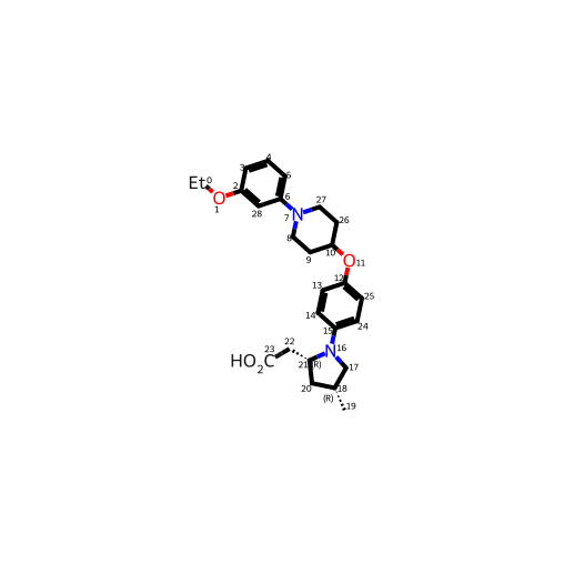 CCOc1cccc(N2CCC(Oc3ccc(N4C[C@H](C)C[C@@H]4CC(=O)O)cc3)CC2)c1